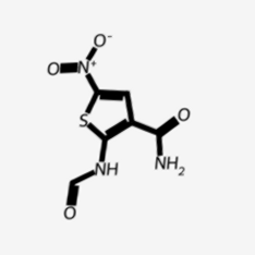 NC(=O)c1cc([N+](=O)[O-])sc1NC=O